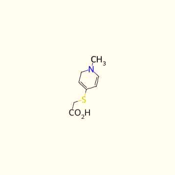 CN1C=CC(SCC(=O)O)=CC1